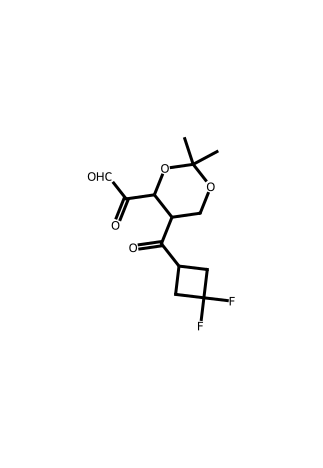 CC1(C)OCC(C(=O)C2CC(F)(F)C2)C(C(=O)C=O)O1